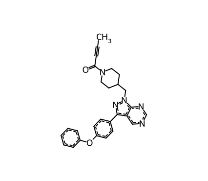 CC#CC(=O)N1CCC(Cn2nc(-c3ccc(Oc4ccccc4)cc3)c3cncnc32)CC1